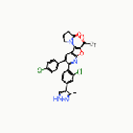 Cc1n[nH]cc1-c1ccc(-c2nc3oc(C(=O)C(C)C)c(N4CCCC4=O)c3cc2-c2ccc(Cl)cc2)c(Cl)c1